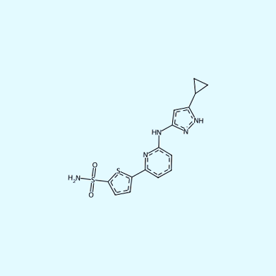 NS(=O)(=O)c1ccc(-c2cccc(Nc3cc(C4CC4)[nH]n3)n2)s1